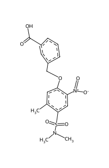 Cc1cc(OCc2cccc(C(=O)O)c2)c([N+](=O)[O-])cc1S(=O)(=O)N(C)C